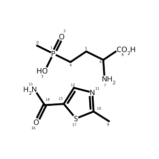 CP(=O)(O)CCC(N)C(=O)O.Cc1ncc(C(N)=O)s1